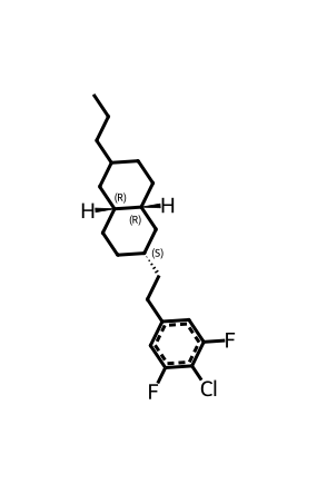 CCCC1CC[C@@H]2C[C@H](CCc3cc(F)c(Cl)c(F)c3)CC[C@@H]2C1